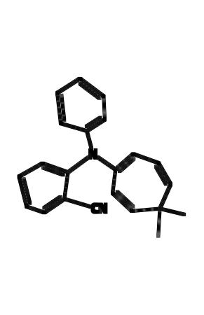 CC1(C)C=CC=C(N(c2ccccc2)c2ccccc2C#N)C=C1